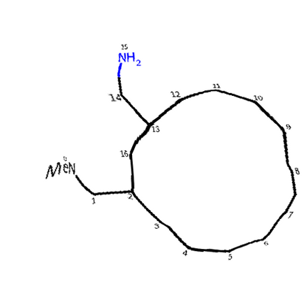 CNCC1CCCCCCCCCCC(CN)C1